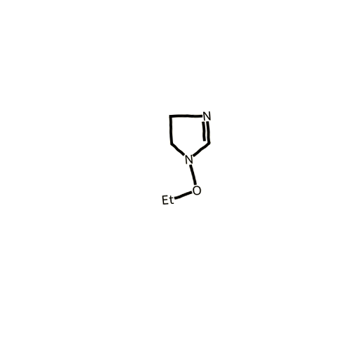 CCON1C=NCC1